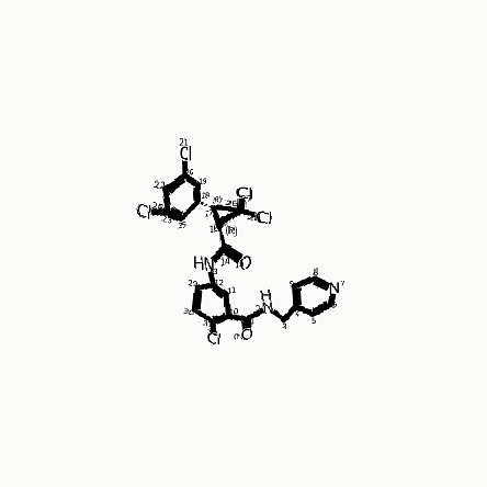 O=C(NCc1ccncc1)c1cc(NC(=O)[C@H]2[C@H](c3cc(Cl)cc(Cl)c3)C2(Cl)Cl)ccc1Cl